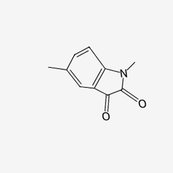 Cc1ccc2c(c1)C(=O)C(=O)N2C